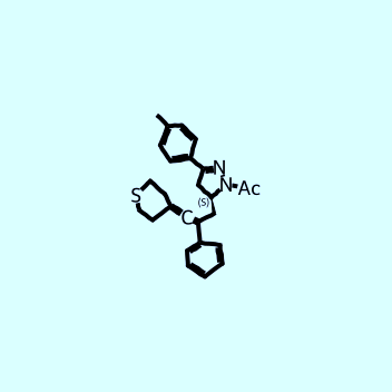 CC(=O)N1N=C(c2ccc(C)cc2)C[C@@H]1CC(=C=C1CCSCC1)c1ccccc1